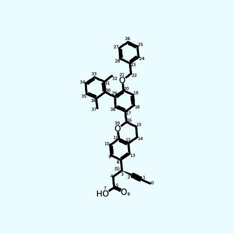 CC#C[C@@H](CC(=O)O)c1ccc2c(c1)CCC(c1ccc(OCc3ccccc3)c(-c3c(C)cccc3C)c1)O2